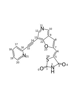 O=C1NC(=O)C(=Cc2cc3cncc(C#Cc4ccccn4)c3o2)S1